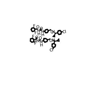 O=C(NC(=O)c1c(F)cccc1F)Nc1ccc(CO/N=C(/c2ccc(Cl)cc2)C2CC2)cc1.O=C(NC(=O)c1c(F)cccc1F)Nc1ccc(CO/N=C(\c2ccc(Cl)cc2)C2CC2)cc1